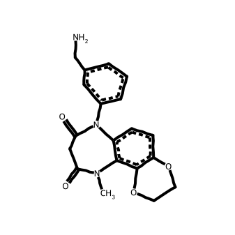 CN1C(=O)CC(=O)N(c2cccc(CN)c2)c2ccc3c(c21)OCCO3